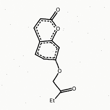 CCC(=O)COc1ccc2ccc(=O)oc2c1